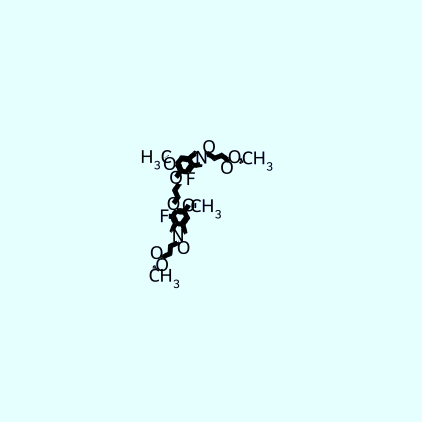 CCOC(=O)CCC(=O)N1Cc2cc(OC)c(OCCCOc3c(OC)cc4c(c3F)CN(C(=O)CCC(=O)OCC)C4)c(F)c2C1